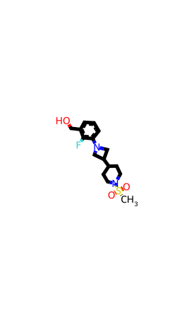 CS(=O)(=O)N1CCC(C2CN(c3cccc(CO)c3F)C2)CC1